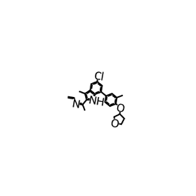 C=C/N=C(/C)c1[nH]c2c(-c3ccc(OC4CCOC4)c(C)c3)cc(Cl)cc2c1C